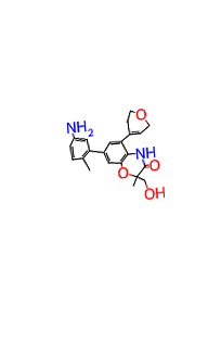 Cc1ccc(N)cc1-c1cc2c(c(C3=CCOCC3)c1)NC(=O)C(C)(CO)O2